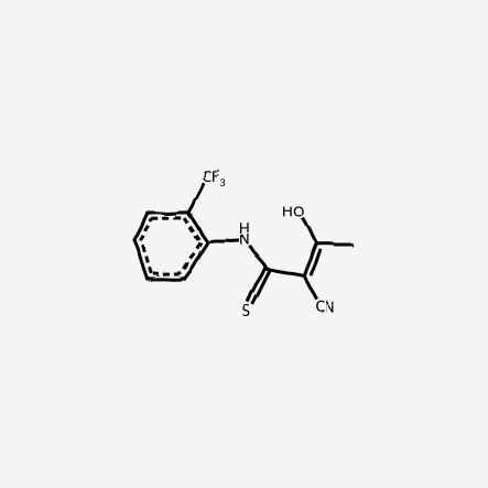 CC(O)=C(C#N)C(=S)Nc1ccccc1C(F)(F)F